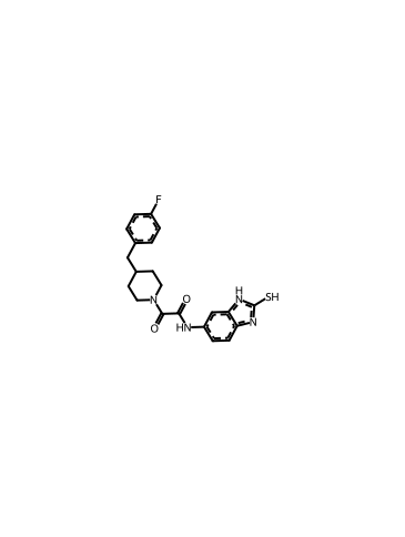 O=C(Nc1ccc2nc(S)[nH]c2c1)C(=O)N1CCC(Cc2ccc(F)cc2)CC1